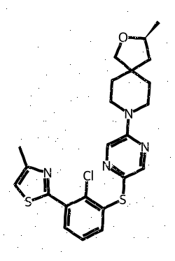 Cc1csc(-c2cccc(Sc3cnc(N4CCC5(CC4)CO[C@@H](C)C5)cn3)c2Cl)n1